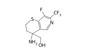 NC1(CO)CCSc2c1cnc(C(F)(F)F)c2F